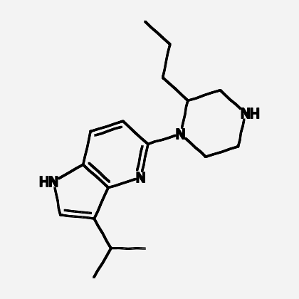 CCCC1CNCCN1c1ccc2[nH]cc(C(C)C)c2n1